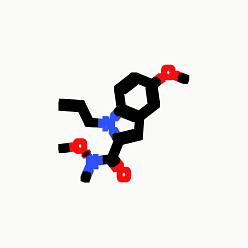 C=CCn1c(C(=O)N(C)OC)cc2cc(OC)ccc21